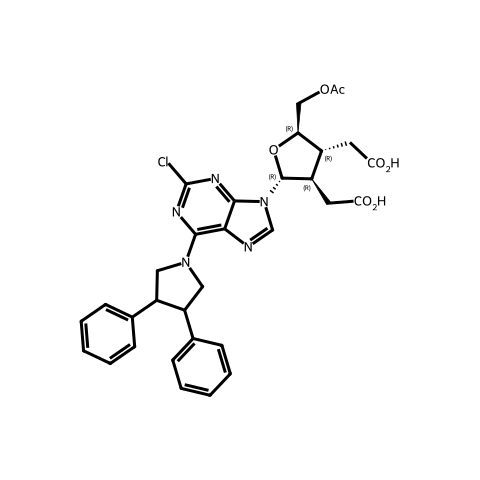 CC(=O)OC[C@@H]1O[C@@H](n2cnc3c(N4CC(c5ccccc5)C(c5ccccc5)C4)nc(Cl)nc32)[C@H](CC(=O)O)[C@H]1CC(=O)O